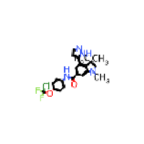 CN1CC(C)(C)c2c(-c3ccn[nH]3)cc(C(=O)Nc3ccc(OC(F)(F)Cl)cc3)cc21